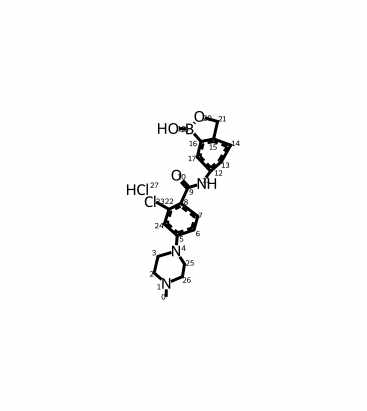 CN1CCN(c2ccc(C(=O)Nc3ccc4c(c3)B(O)OC4)c(Cl)c2)CC1.Cl